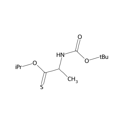 CC(C)OC(=S)C(C)NC(=O)OC(C)(C)C